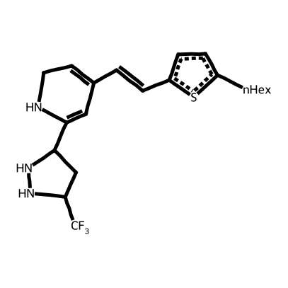 CCCCCCc1ccc(/C=C/C2=CCNC(C3CC(C(F)(F)F)NN3)=C2)s1